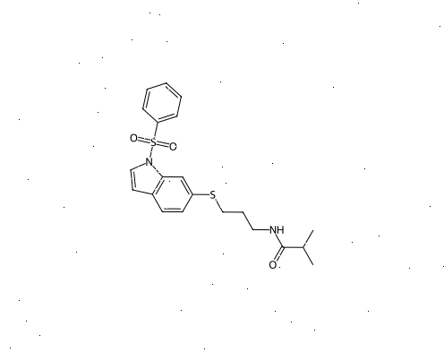 CC(C)C(=O)NCCCSc1ccc2ccn(S(=O)(=O)c3ccccc3)c2c1